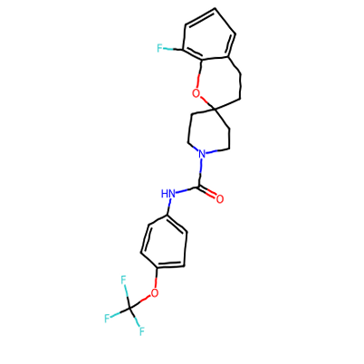 O=C(Nc1ccc(OC(F)(F)F)cc1)N1CCC2(CCc3cccc(F)c3O2)CC1